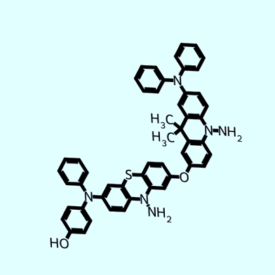 CC1(C)c2cc(Oc3ccc4c(c3)N(N)c3ccc(N(c5ccccc5)c5ccc(O)cc5)cc3S4)ccc2N(N)c2ccc(N(c3ccccc3)c3ccccc3)cc21